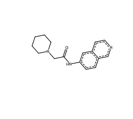 O=C(CN1CCCCC1)Nc1ccc2cnccc2c1